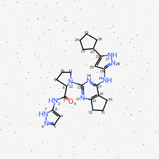 O=C(Nc1ccn[nH]1)C1CCCN1c1nc2c(c(Nc3cc(C4CCCC4)[nH]n3)n1)CCC2